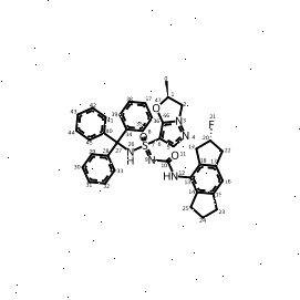 C[C@H]1Cn2ncc(S(=O)(=NC(=O)Nc3c4c(cc5c3C[C@H](F)C5)CCC4)NC(c3ccccc3)(c3ccccc3)c3ccccc3)c2O1